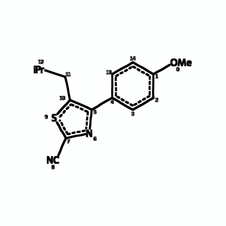 COc1ccc(-c2nc(C#N)sc2CC(C)C)cc1